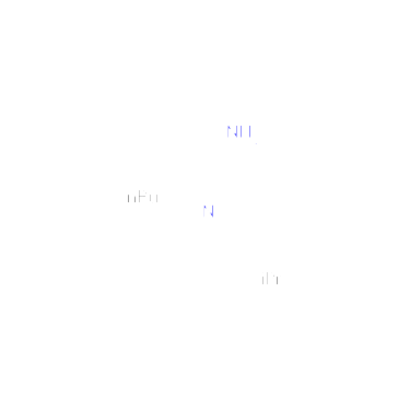 CCCCN(CC(C)C)C(C)N